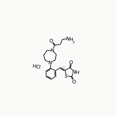 Cl.NCCC(=O)N1CCCN(c2ccccc2/C=C2\SC(=O)NC2=O)CC1